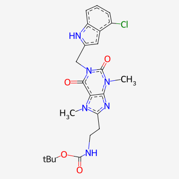 Cn1c(CCNC(=O)OC(C)(C)C)nc2c1c(=O)n(Cc1cc3c(Cl)cccc3[nH]1)c(=O)n2C